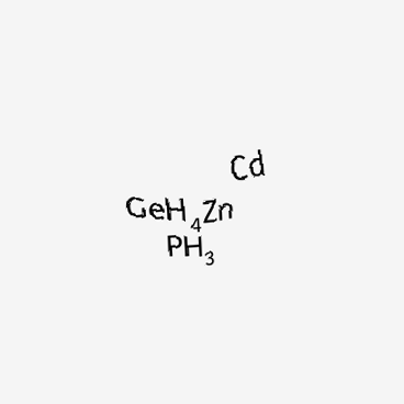 P.[Cd].[GeH4].[Zn]